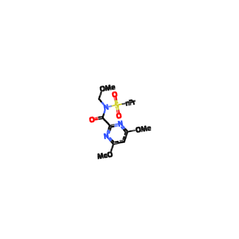 CCCS(=O)(=O)N(COC)C(=O)c1nc(OC)cc(OC)n1